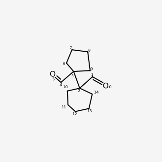 O=CC1(C2(C=O)CCCC2)CCCCC1